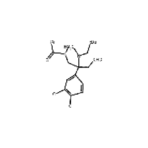 CC(C)C(=O)N(C)CC(CC=O)(c1ccc(Cl)c(Cl)c1)N(CC(C)(C)C)C(=O)O